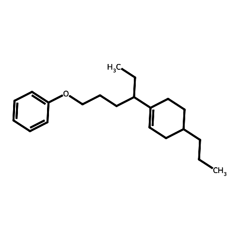 CCCC1CC=C(C(CC)CCCOc2ccccc2)CC1